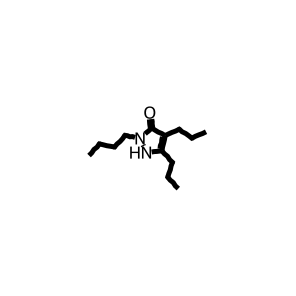 CCCCn1[nH]c(CCC)c(CCC)c1=O